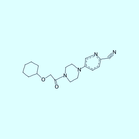 N#Cc1ccc(N2CCN(C(=O)COC3CCCCC3)CC2)cn1